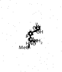 COCCNc1ccc(-c2cc(C#CC3(O)CCN(C)C3=O)ccc2F)nc1C(N)=O